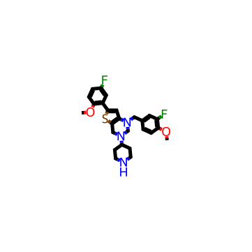 COc1ccc(CN2CN(C3CCNCC3)Cc3sc(-c4cc(F)ccc4OC)cc32)cc1F